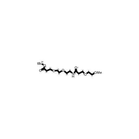 COCCOCCC(=O)NCCOCCOCCC(=O)OC(C)(C)C